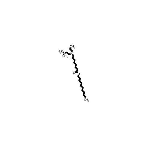 C=CCN(CCCCCCCC(=O)OC/C=C/CCCCCCCC)CCN(C)C